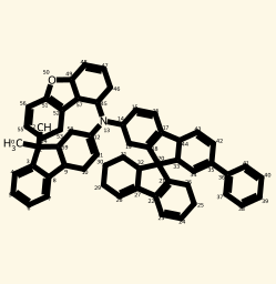 CC1(C)c2ccccc2C2CC=C(N(C3C=CC4=C(C3)C3(C5=C(C=CCC5)C5=CCCCC53)C3C=C(c5ccccc5)C=CC43)C3CC=CC4OC5=C(CCC=C5)C43)CC21